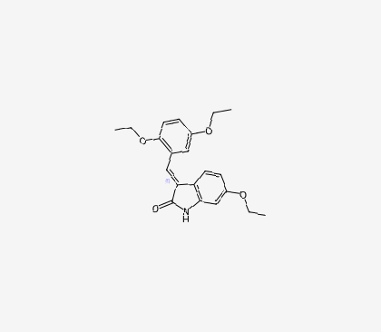 CCOc1ccc(OCC)c(/C=C2/C(=O)Nc3cc(OCC)ccc32)c1